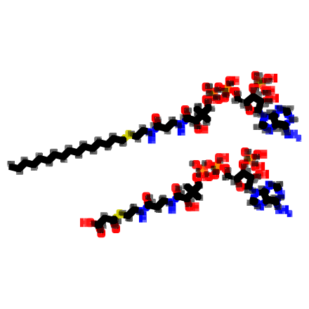 CC(C)(COP(=O)(O)OP(=O)(O)OC[C@H]1O[C@@H](n2cnc3c(N)ncnc32)[C@H](O)[C@@H]1OP(=O)(O)O)C(O)C(=O)NCCC(=O)NCCSC(=O)CC(=O)O.CCCCCCCCCCCCCCCCSCCNC(=O)CCNC(=O)C(O)C(C)(C)COP(=O)(O)OP(=O)(O)OC[C@H]1O[C@@H](n2cnc3c(N)ncnc32)[C@H](O)[C@@H]1OP(=O)(O)O